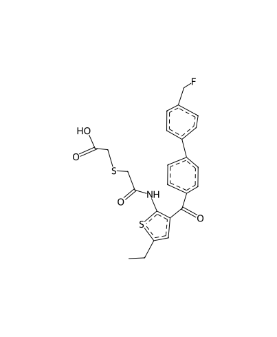 CCc1cc(C(=O)c2ccc(-c3ccc(CF)cc3)cc2)c(NC(=O)CSCC(=O)O)s1